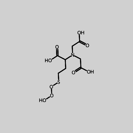 O=C(O)CN(CC(=O)O)C(CCSOOO)C(=O)O